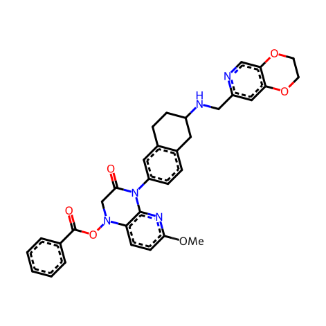 COc1ccc2c(n1)N(c1ccc3c(c1)CCC(NCc1cc4c(cn1)OCCO4)C3)C(=O)CN2OC(=O)c1ccccc1